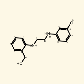 OCc1ccccc1NCCNc1cccc(Cl)c1